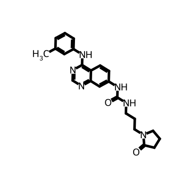 Cc1cccc(Nc2ncnc3cc(NC(=O)NCCCN4CCCC4=O)ccc23)c1